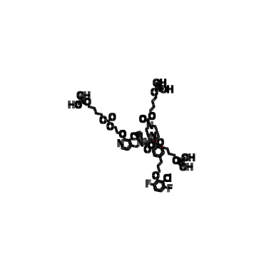 Cc1c(CN(C(=O)C2=C(c3ccc(CCCOc4c(F)ccc(F)c4Cl)cc3)CC3CN(C(=O)OCCCCON(O)O)CC2N3C(=O)OCCCCON(O)O)C2CC2)ccnc1OCCOC(=O)OCCCCON(O)O